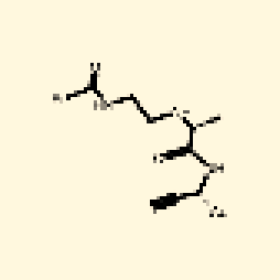 C#C[C@H](NC(=O)[C@H](C)NCCNC(=O)CC)C(C)=O